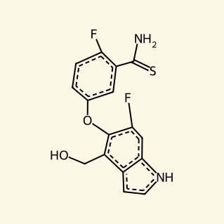 NC(=S)c1cc(Oc2c(F)cc3[nH]ccc3c2CO)ccc1F